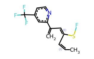 C=C(/C=C(\C=C/C)SF)c1cc(C(F)(F)F)ccn1